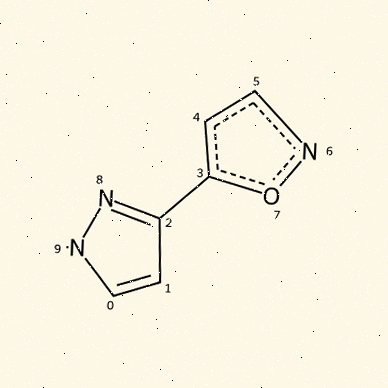 C1=CC(c2ccno2)=N[N]1